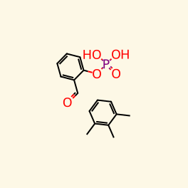 Cc1cccc(C)c1C.O=Cc1ccccc1OP(=O)(O)O